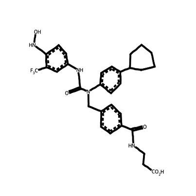 O=C(O)CCNC(=O)c1ccc(CN(C(=O)Nc2ccc(NO)c(C(F)(F)F)c2)c2ccc(C3CCCCC3)cc2)cc1